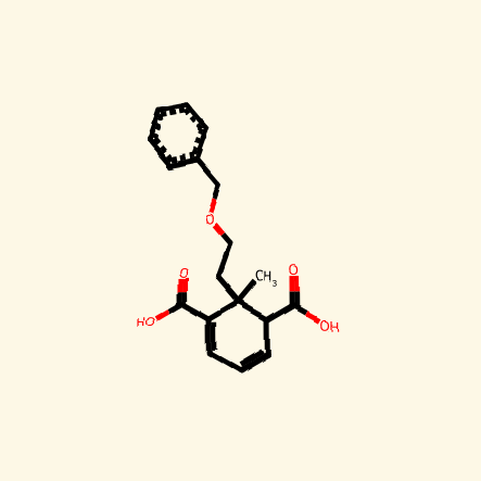 CC1(CCOCc2ccccc2)C(C(=O)O)=CC=CC1C(=O)O